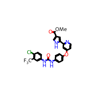 COC(=O)c1c[nH]c(-c2cc(Oc3ccc(NC(=O)Nc4ccc(Cl)c(C(F)(F)F)c4)cc3)ccn2)c1